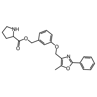 Cc1oc(-c2ccccc2)nc1COc1cccc(COC(=O)C2CCCN2)c1